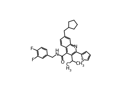 CC(C)c1c(-c2cccs2)nc2cc(CC3CCCC3)ccc2c1C(=O)NCc1ccc(F)c(F)c1